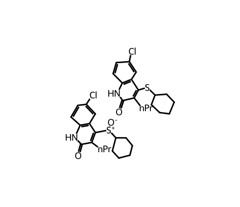 CCCc1c(SC2CCCCC2)c2cc(Cl)ccc2[nH]c1=O.CCCc1c([S+]([O-])C2CCCCC2)c2cc(Cl)ccc2[nH]c1=O